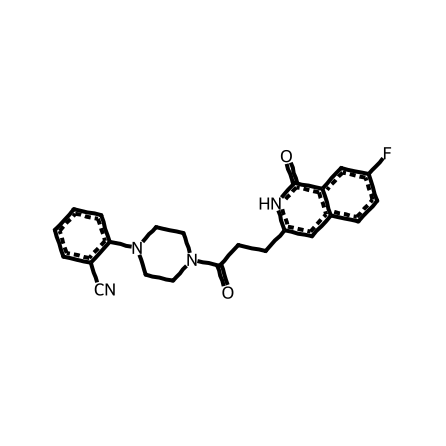 N#Cc1ccccc1N1CCN(C(=O)CCc2cc3ccc(F)cc3c(=O)[nH]2)CC1